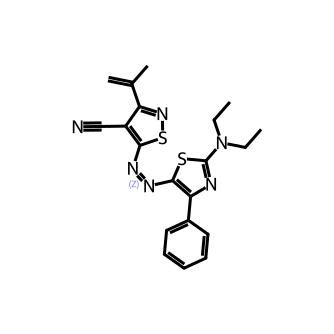 C=C(C)c1nsc(/N=N\c2sc(N(CC)CC)nc2-c2ccccc2)c1C#N